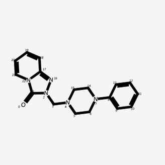 O=c1n(CN2CCN(c3ccccc3)CC2)nc2ccccn12